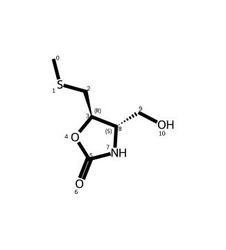 CSC[C@@H]1OC(=O)N[C@H]1CO